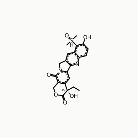 CC[C@@]1(O)C(=O)OCc2c1cc1n(c2=O)Cc2cc3c([SH](C)(C)=O)c(O)ccc3nc2-1